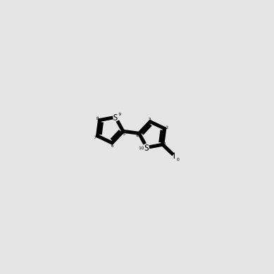 Ic1ccc(-c2cccs2)s1